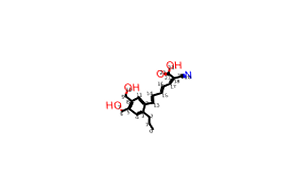 CCCc1cc(CO)c(CO)cc1C=CC=CC=C(C#N)C(=O)O